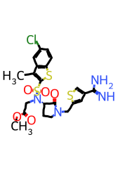 COC(=O)CN([C@H]1CCN(Cc2cc(C(=N)N)cs2)C1=O)S(=O)(=O)c1sc2ccc(Cl)cc2c1C